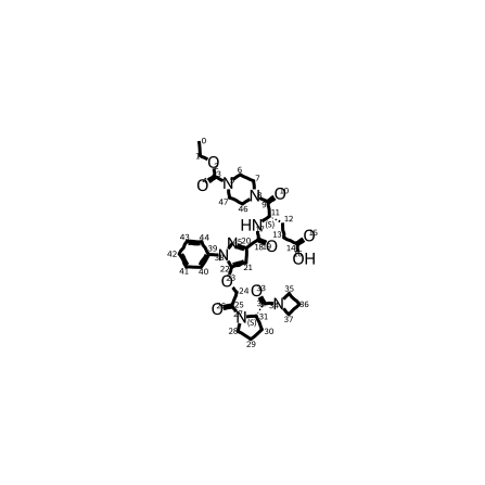 CCOC(=O)N1CCN(C(=O)[C@H](CCC(=O)O)NC(=O)c2cc(OCC(=O)N3CCC[C@H]3C(=O)N3CCC3)n(-c3ccccc3)n2)CC1